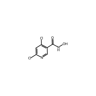 O=C(NO)c1cnc(Cl)cc1Cl